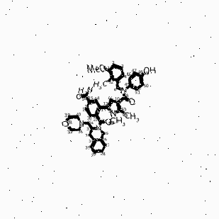 COc1cccc(CN(C(=O)c2cc(-c3cc(C(N)=O)ccc3C(=O)N3Cc4ccccc4CC3CN3CCOCC3)n(C)c2C)c2ccc(O)cc2)c1C